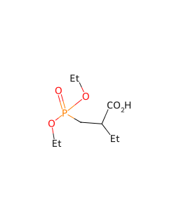 CCOP(=O)(CC(CC)C(=O)O)OCC